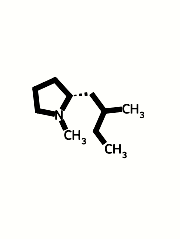 CCC(C)C[C@H]1CCCN1C